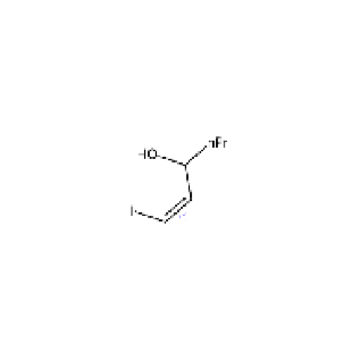 CCCC(O)/C=C\I